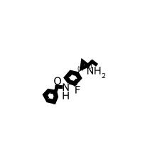 CC[C@@]1(N)C[C@H]1c1ccc(NC(=O)c2ccccc2)c(F)c1